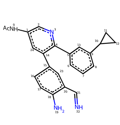 CC(=O)Nc1cnc(-c2cccc(C3CC3)c2)c(-c2ccc(N)c(C=N)c2)c1